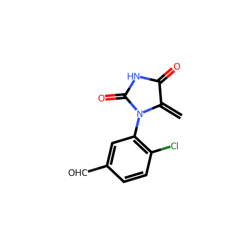 C=C1C(=O)NC(=O)N1c1cc(C=O)ccc1Cl